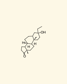 CCC1(O)CC[C@@]2(C)C(CC[C@@H]3[C@@H]2CC[C@]2(C)C(=O)CC[C@@H]32)C1